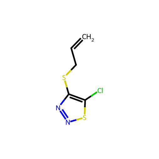 C=CCSc1nnsc1Cl